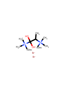 CCCCCCCCCC[N+](C)(C)C(C)C(O)(O)[N+](C)(C)CCCCCCCCCC.[Br-].[Br-]